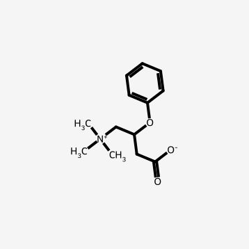 C[N+](C)(C)CC(CC(=O)[O-])Oc1ccccc1